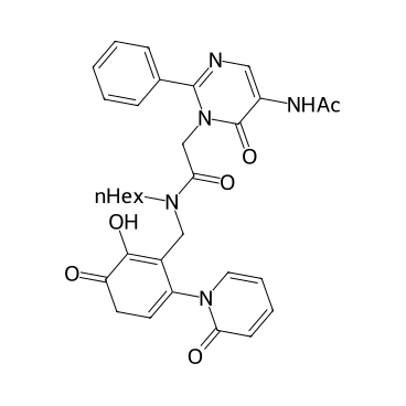 CCCCCCN(CC1=C(O)C(=O)CC=C1n1ccccc1=O)C(=O)Cn1c(-c2ccccc2)ncc(NC(C)=O)c1=O